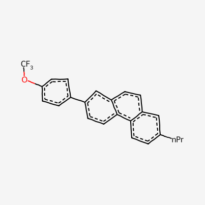 CCCc1ccc2c(ccc3cc(-c4ccc(OC(F)(F)F)cc4)ccc32)c1